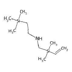 C=C[Si](C)(C)CNCC[Si](C)(C)C